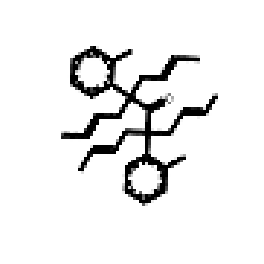 C/C=C/CC(C/C=C/C)(C(=O)C(C/C=C/C)(C/C=C/C)c1ccccc1C)c1ccccc1C